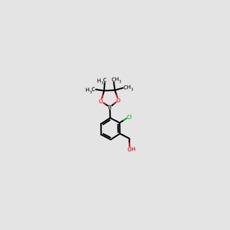 CC1(C)OB(c2cccc(CO)c2Cl)OC1(C)C